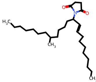 CCCCCCCC/C=C/C(CCCCC(C)CCCCCCC)N1C(=O)CCC1=O